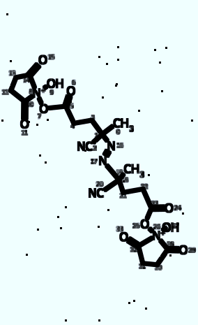 CC(C#N)(CCC(=O)O[N+]1(O)C(=O)CCC1=O)N=NC(C)(C#N)CCC(=O)O[N+]1(O)C(=O)CCC1=O